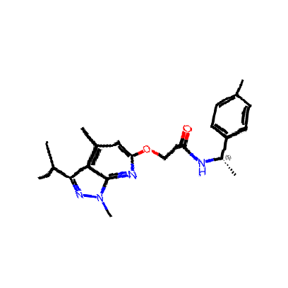 Cc1ccc([C@H](C)NC(=O)COc2cc(C)c3c(C(C)C)nn(C)c3n2)cc1